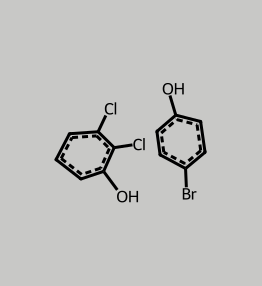 Oc1ccc(Br)cc1.Oc1cccc(Cl)c1Cl